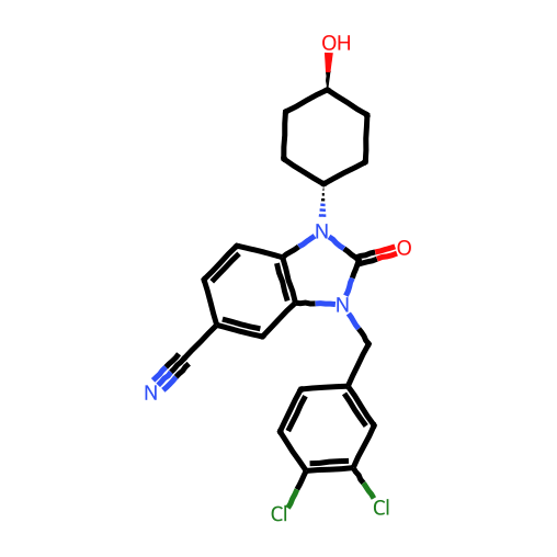 N#Cc1ccc2c(c1)n(Cc1ccc(Cl)c(Cl)c1)c(=O)n2[C@H]1CC[C@H](O)CC1